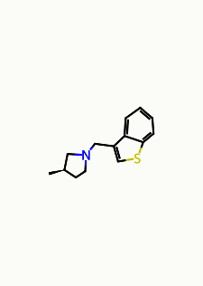 C[C@@H]1CCN(Cc2csc3ccccc23)C1